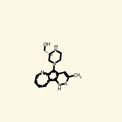 CC1=Cc2c(c3ccccnc-3c2N2CCN[C@@H](CO)C2)NS1